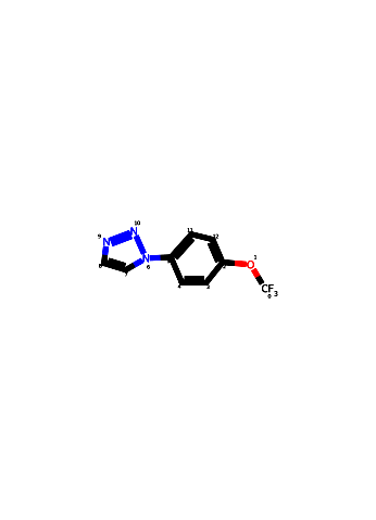 FC(F)(F)Oc1ccc(-n2ccnn2)cc1